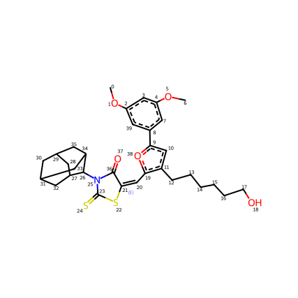 COc1cc(OC)cc(-c2cc(CCCCCCO)c(/C=C3/SC(=S)N(C4C5CC6CC(C5)CC4C6)C3=O)o2)c1